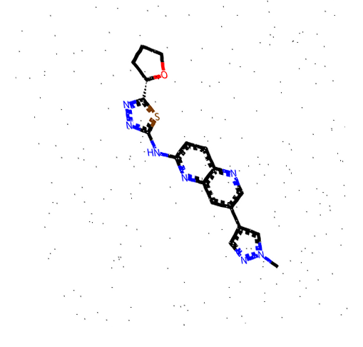 Cn1cc(-c2cnc3ccc(Nc4nnc([C@@H]5CCCO5)s4)nc3c2)cn1